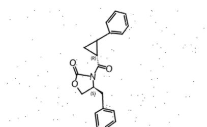 O=C1OC[C@H](Cc2ccccc2)N1C(=O)[C@@H]1CC1c1ccccc1